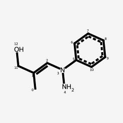 C/C(=C\N(N)c1ccccc1)CO